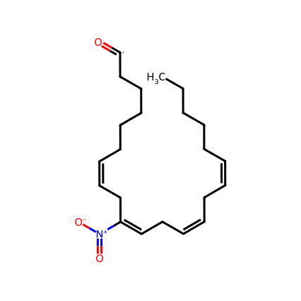 CCCCC/C=C\C/C=C\C/C=C(\C/C=C\CCCCC[C]=O)[N+](=O)[O-]